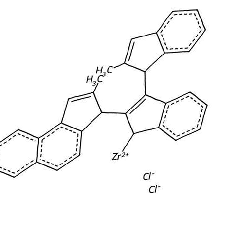 CC1=Cc2ccccc2C1C1=C(C2C(C)=Cc3c2ccc2ccccc32)[CH]([Zr+2])c2ccccc21.[Cl-].[Cl-]